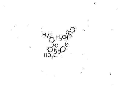 Cc1ccc(C(=O)c2ccccc2NC(Cc2ccc(OCCN(C)c3nc4ccccc4o3)cc2)C(=O)O)cc1